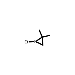 [CH2]CN1CC1(C)C